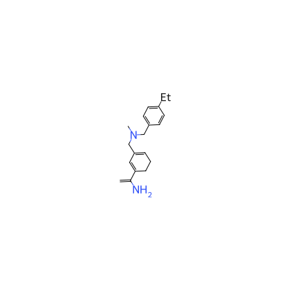 C=C(N)C1=CC(CN(C)Cc2ccc(CC)cc2)=CCC1